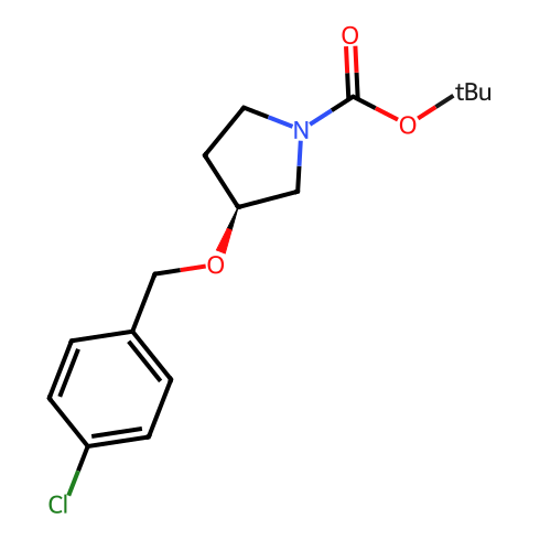 CC(C)(C)OC(=O)N1CC[C@H](OCc2ccc(Cl)cc2)C1